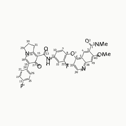 CNC(=O)c1cc2c(Oc3ccc(NC(=O)c4c5n(cc(-c6ccc(F)cc6)c4=O)CCC5)cc3F)ccnc2cc1OC